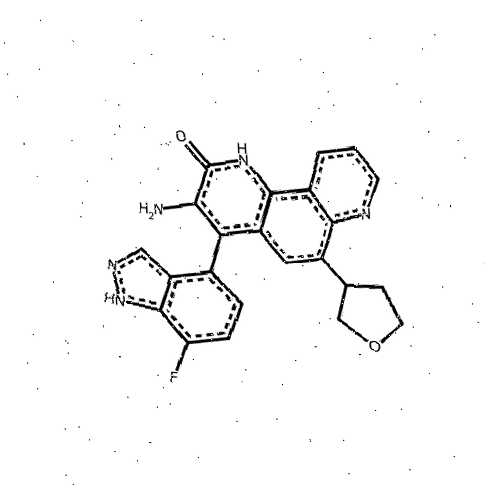 Nc1c(-c2ccc(F)c3[nH]ncc23)c2cc(C3CCOC3)c3ncccc3c2[nH]c1=O